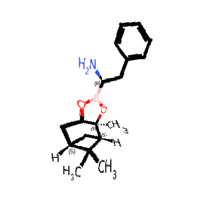 CC1(C)[C@@H]2CC3OB([C@@H](N)Cc4ccccc4)O[C@@]3(C)[C@H]1C2